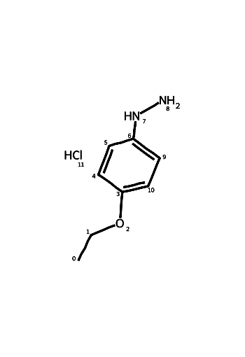 CCOc1ccc(NN)cc1.Cl